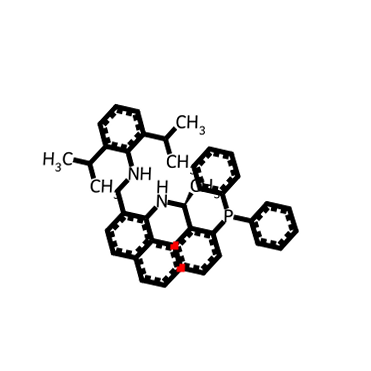 CC(C)c1cccc(C(C)C)c1NCc1ccc2ccccc2c1N[C@@H](C)c1ccccc1P(c1ccccc1)c1ccccc1